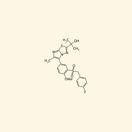 COc1ccc(-c2c(C)nc3sc(C(C)(C)O)nn23)cc1S(=O)(=O)Cc1ccc(F)cc1